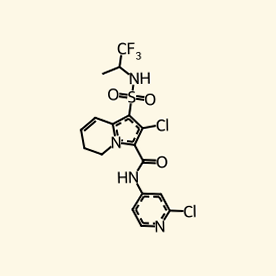 CC(NS(=O)(=O)c1c(Cl)c(C(=O)Nc2ccnc(Cl)c2)n2c1C=CCC2)C(F)(F)F